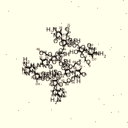 COCCOC1[C@@H](O)[C@@H](COP(=O)(S)O[C@@H]2C(OCCOC)[C@H](n3cc(C)c(N)nc3=O)O[C@@H]2COP(=O)(S)O[C@@H]2C(OCCOC)[C@H](n3cc(C)c(N)nc3=O)O[C@@H]2COP(=O)(S)O[C@@H]2C(OCCOC)[C@H](n3cc(C)c(=O)[nH]c3=O)O[C@@H]2COP(=O)(S)O[C@@H]2C(OCCOC)[C@H](n3cnc4c(N)ncnc43)O[C@@H]2COP(=O)(S)O[C@@H]2C[C@H](n3cnc4c(N)ncnc43)O[C@@H]2C)O[C@H]1n1cc(C)c(N)nc1=O